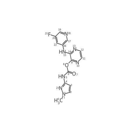 Cn1ccc(NC(=O)Oc2nccnc2Nc2cncc(F)c2)n1